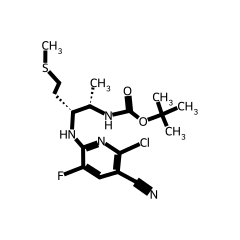 CSCC[C@@H](Nc1nc(Cl)c(C#N)cc1F)[C@H](C)NC(=O)OC(C)(C)C